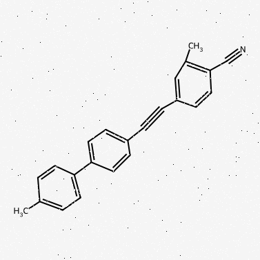 Cc1ccc(-c2ccc(C#Cc3ccc(C#N)c(C)c3)cc2)cc1